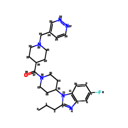 CCCc1nc2cc(F)ccc2n1C1CCN(C(=O)C2CCN(Cc3ccnnc3)CC2)CC1